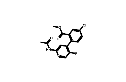 COC(=O)c1cc(Cl)ccc1-c1cc(NC(C)=O)ncc1F